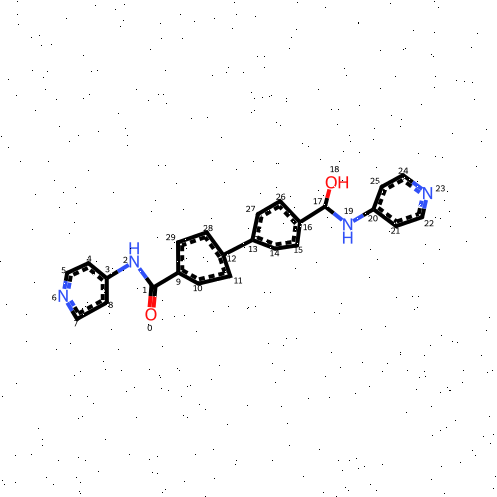 O=C(Nc1ccncc1)c1ccc(-c2ccc(C(O)Nc3ccncc3)cc2)cc1